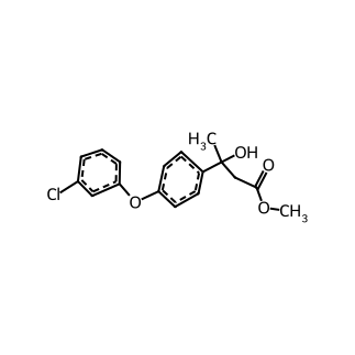 COC(=O)CC(C)(O)c1ccc(Oc2cccc(Cl)c2)cc1